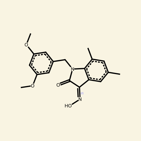 COc1cc(CN2C(=O)/C(=N\O)c3cc(C)cc(C)c32)cc(OC)c1